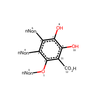 CCCCCCCCCOc1c(CCCCCCCCC)c(CCCCCCCCC)c(O)c(O)c1C(=O)O